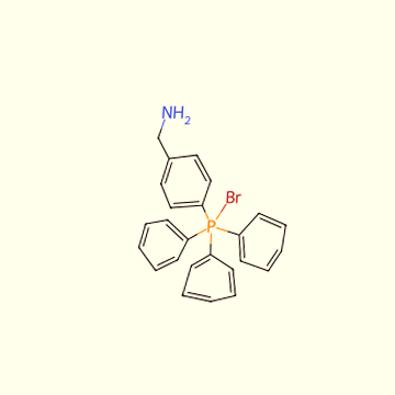 NCc1ccc(P(Br)(c2ccccc2)(c2ccccc2)c2ccccc2)cc1